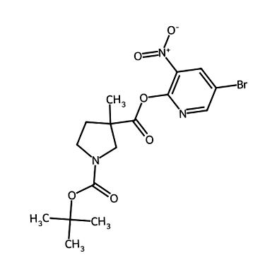 CC(C)(C)OC(=O)N1CCC(C)(C(=O)Oc2ncc(Br)cc2[N+](=O)[O-])C1